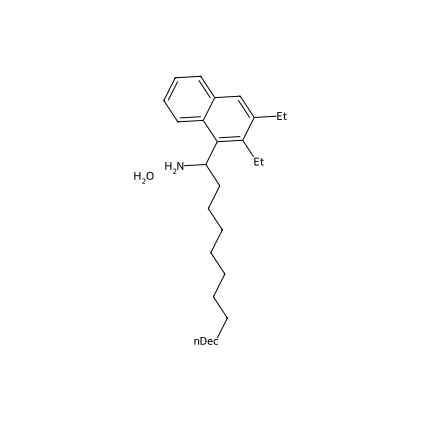 CCCCCCCCCCCCCCCCCC(N)c1c(CC)c(CC)cc2ccccc12.O